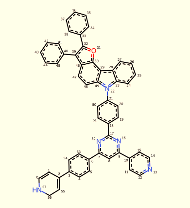 C1=CC(c2ccc(-c3cc(-c4ccncc4)nc(-c4ccc(-n5c6ccccc6c6c7oc(-c8ccccc8)c(-c8ccccc8)c7ccc65)cc4)n3)cc2)=CCN1